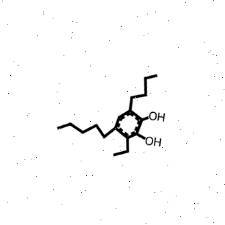 CCCCCc1cc(CCCC)c(O)c(O)c1CC